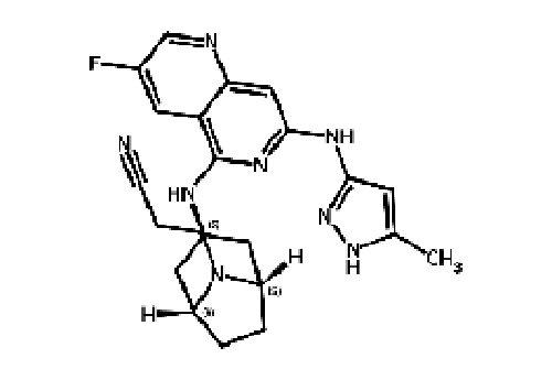 Cc1cc(Nc2cc3ncc(F)cc3c(N[C@@H]3C[C@H]4CC[C@@H](C3)N4CCC#N)n2)n[nH]1